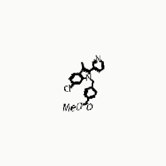 COC(=O)c1ccc(Cn2c(-c3cccnc3)c(C)c3ccc(Cl)cc32)cc1